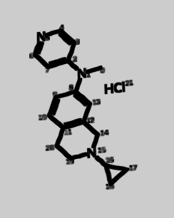 CN(c1ccncc1)c1ccc2c(c1)CN(C1CC1)CC2.Cl